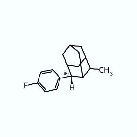 CC1C2CC3CC(C2)[C@@H](c2ccc(F)cc2)C1C3